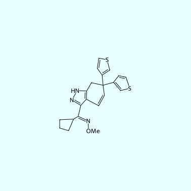 CON=C(c1n[nH]c2c1C=CC(c1ccsc1)(c1ccsc1)C2)C1CCC1